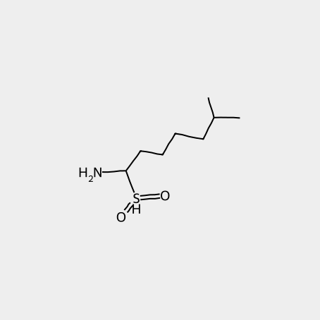 CC(C)CCCCC(N)[SH](=O)=O